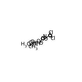 CC(C)(C)OC(=O)NCCOC(=O)c1ccc2nc(-c3cc(Cl)cc(Cl)c3)oc2c1